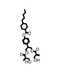 C=C(CO)C(=O)OCC(COC(=O)C(=C)CO)c1ccc(OC(=O)C2CCC(CCCCC)CC2)cc1